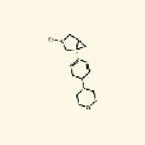 CCN1CC2C[C@@]2(C2=CCC(N3CCOCC3)C=C2)C1